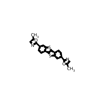 Cc1cnc(-c2ccc3c(c2)sc2c4ccc(-c5ncc(C)o5)cc4sc32)o1